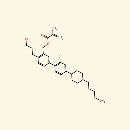 C=C(C)C(=O)OCc1cc(-c2ccc(C3CCC(CCCCC)CC3)cc2F)ccc1CCCO